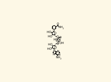 NC(=O)C1=CN([C@@H]2O[C@H](COP(=O)(O)OP(=O)(O)OC[C@@H]3O[C@H](n4cnc5c(N)ncnc54)C(O)C3O)C(O)C2O)C=CC1